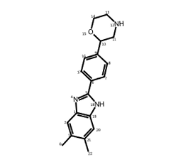 Cc1cc2nc(-c3ccc(C4CNCCO4)cc3)[nH]c2cc1C